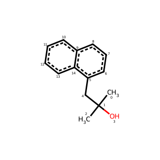 CC(C)(O)Cc1cccc2ccccc12